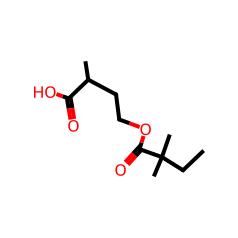 CCC(C)(C)C(=O)OCCC(C)C(=O)O